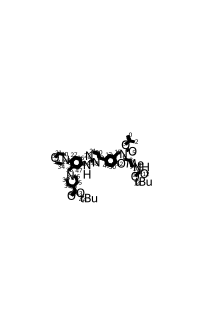 C=C(C)OC(=O)N(CCCNC(=O)OC(C)(C)C)Cc1cc(-c2ccnc(Nc3ccc(N4CCOCC4)c(CN4CCC(C(=O)OC(C)(C)C)CC4)c3)n2)ccc1OC